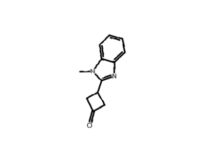 Cn1c(C2CC(=O)C2)nc2ccccc21